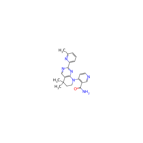 Cc1cccc(-c2ncc3c(n2)N(c2ccncc2C(N)=O)CCC3(C)C)n1